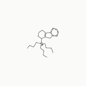 CCCC[Si](CCCC)(CCCC)C1CCCC2=C1Cc1ccccc12